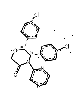 O=C1CO[C@H](c2ccc(Cl)cc2)[C@H](c2ccc(Cl)cc2)N1c1cnccn1